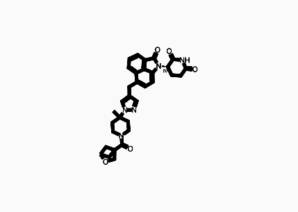 CC1(n2cc(Cc3ccc4c5c(cccc35)C(=O)N4[C@H]3CCC(=O)NC3=O)cn2)CCN(C(=O)C23COC(C2)C3)CC1